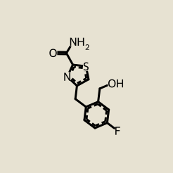 NC(=O)c1nc(Cc2ccc(F)cc2CO)cs1